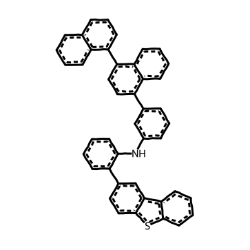 c1cc(Nc2ccccc2-c2ccc3sc4ccccc4c3c2)cc(-c2ccc(-c3cccc4ccccc34)c3ccccc23)c1